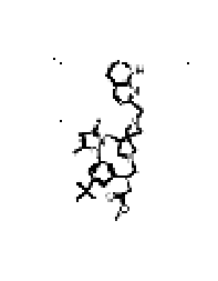 COC(=O)C[C@H](CN1CC(F)C2(C1)CN(Cc1ccc3c(n1)NCCC3)C2)c1cc(-n2nc(C)cc2C)cc(C(C)(C)C)c1